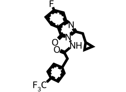 O=C(Cc1ccc(C(F)(F)F)cc1)Nn1c(CC2CC2)nc2cc(F)ccc2c1=O